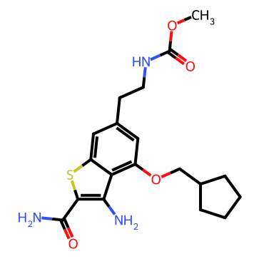 COC(=O)NCCc1cc(OCC2CCCC2)c2c(N)c(C(N)=O)sc2c1